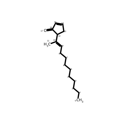 CCCCCCCCCC=C(C)C1CC=CC1=O